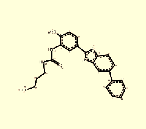 COc1ccc(-c2nc3cc(-c4ccccc4)ccc3o2)cc1NC(=O)NCCCC(=O)O